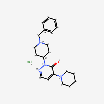 Cl.O=c1c(N2CCCCC2)ccnn1C1CCN(Cc2ccccc2)CC1